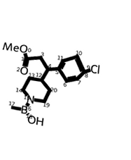 COC(=O)CC(c1ccc(Cl)cc1)C1CCN(B(C)O)CC1